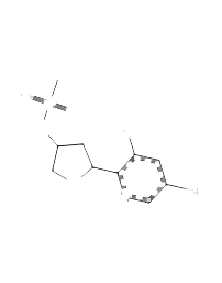 CS(=O)(=O)OC1COC(c2ncc(Br)cc2Cl)C1